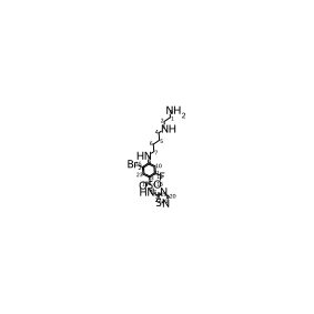 NCCNCCCCNc1cc(F)c(S(=O)(=O)Nc2ncns2)cc1Br